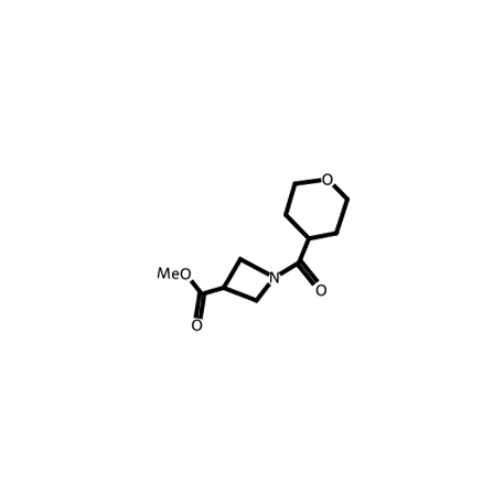 COC(=O)C1CN(C(=O)C2CCOCC2)C1